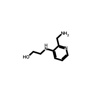 NCc1ncccc1NCCO